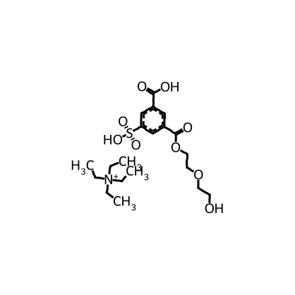 CC[N+](CC)(CC)CC.O=C(O)c1cc(C(=O)OCCOCCO)cc(S(=O)(=O)O)c1